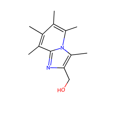 Cc1c(C)c(C)n2c(C)c(CO)nc2c1C